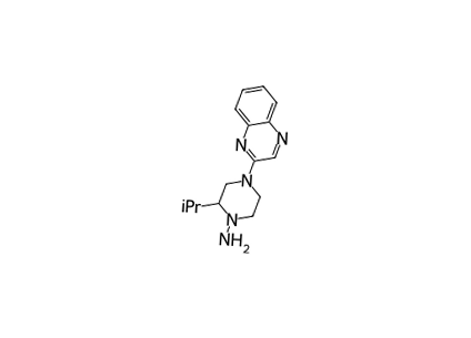 CC(C)C1CN(c2cnc3ccccc3n2)CCN1N